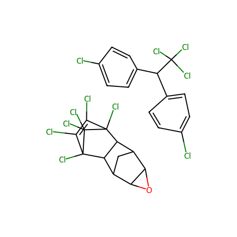 ClC1=C(Cl)C2(Cl)C3C4CC(C5OC45)C3C1(Cl)C2(Cl)Cl.Clc1ccc(C(c2ccc(Cl)cc2)C(Cl)(Cl)Cl)cc1